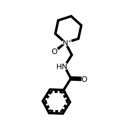 O=C(NC[N+]1([O-])CCCCC1)c1ccccc1